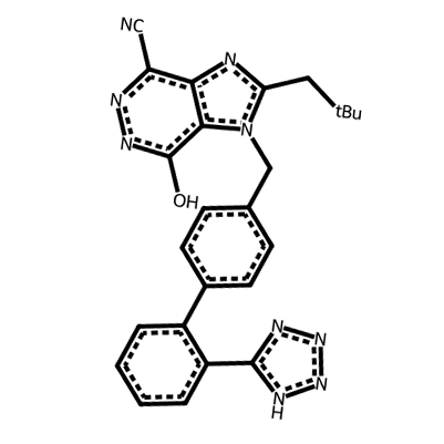 CC(C)(C)Cc1nc2c(C#N)nnc(O)c2n1Cc1ccc(-c2ccccc2-c2nnn[nH]2)cc1